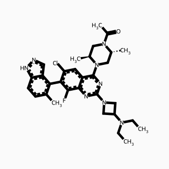 CCN(CC)C1CN(c2nc(N3C[C@@H](C)N(C(C)=O)C[C@@H]3C)c3cc(Cl)c(-c4c(C)ccc5[nH]ncc45)c(F)c3n2)C1